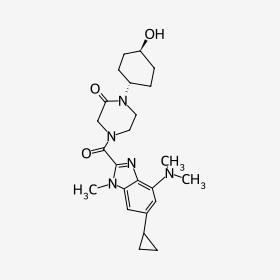 CN(C)c1cc(C2CC2)cc2c1nc(C(=O)N1CCN([C@H]3CC[C@H](O)CC3)C(=O)C1)n2C